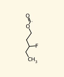 CCC(F)CCO[C]=O